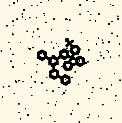 CP(C)(=O)c1cccc(C2(c3cccc(-c4nc(-c5ccccc5)nc(-c5cccc(-c6ccccc6)c5)n4)c3)c3ccccc3-c3ccccc32)c1